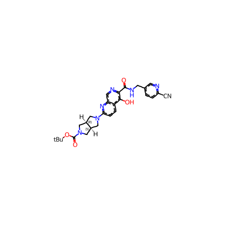 CC(C)(C)OC(=O)N1C[C@@H]2CN(c3ccc4c(O)c(C(=O)NCc5ccc(C#N)nc5)ncc4n3)C[C@@H]2C1